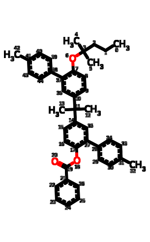 CCCC(C)(C)Oc1ccc(C(C)(C)c2ccc(OC(=O)c3ccccc3)c(-c3ccc(C)cc3)c2)cc1-c1ccc(C)cc1